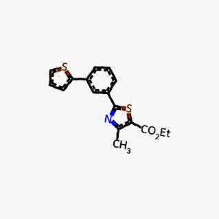 CCOC(=O)c1sc(-c2cccc(-c3cccs3)c2)nc1C